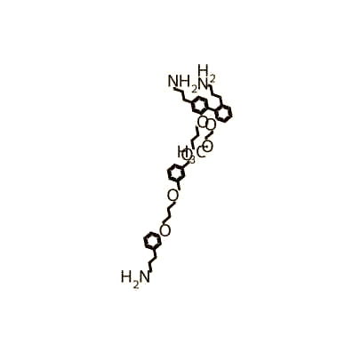 COCCOc1cccc(CCCN)c1-c1ccc(CCCN)cc1OCCCCOCc1cccc(COCCCCOc2cccc(CCCN)c2)c1